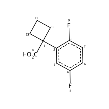 O=C(O)C1(c2cc(F)ccc2F)CCC1